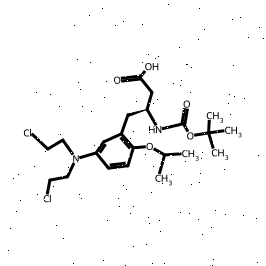 CC(C)Oc1ccc(N(CCCl)CCCl)cc1C[C@@H](CC(=O)O)NC(=O)OC(C)(C)C